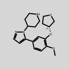 COc1ccc(-c2ccnn2C2CCNCC2)cc1O[C@@H]1CCOC1